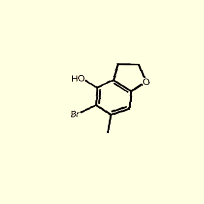 Cc1cc2c(c(O)c1Br)CCO2